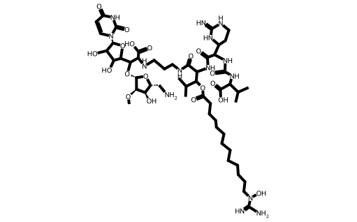 CO[C@H]1[C@H](OC(C(NCCCNC(=O)C(NC(=O)C(NC(=O)NC(C(=O)O)C(C)C)C2CCNC(=N)N2)C(OC(=O)CCCCCCCCCCCCN(O)C(=N)N)C(C)C)C(=O)O)C2O[C@@H](n3ccc(=O)[nH]c3=O)C(O)C2O)O[C@H](CN)[C@H]1O